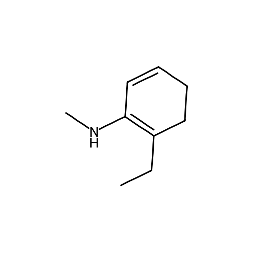 CCC1=C(NC)C=CCC1